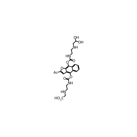 CC(=O)c1cc2c(OC(=O)NCCNCC(=O)O)c3ccccc3c(OC(=O)NCCNCC(O)O)c2o1